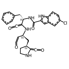 O=C=C[C@H](C[C@@H]1CCNC1=C=O)NC(=C=O)[C@H](Cc1ccccc1)NC(=O)c1cc2cc(Cl)ccc2[nH]1